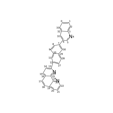 c1ccc2ncc(-c3ccc4cc(-c5ccc6ccc7cccnc7c6n5)ccc4c3)cc2c1